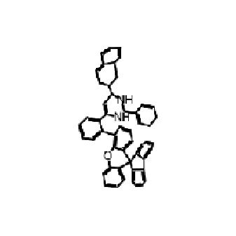 C1=CC2=CCC(C3C=C(c4ccccc4-c4cccc5c4Oc4ccccc4C54c5ccccc5-c5ccccc54)NC(C4=CCCC=C4)N3)CC2C=C1